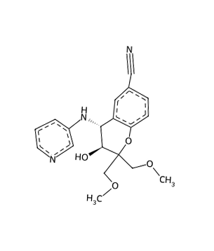 COCC1(COC)Oc2ccc(C#N)cc2[C@@H](Nc2cccnc2)[C@@H]1O